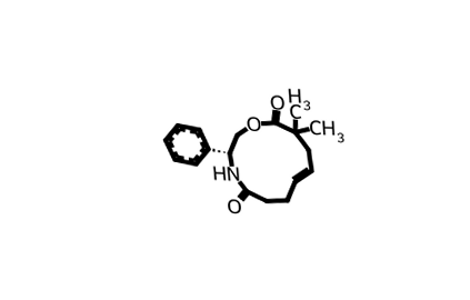 CC1(C)C/C=C/CCC(=O)N[C@H](c2ccccc2)COC1=O